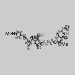 C=C(CC)CC1C=Nc2cc(OCCCCCOc3cc(NO)c(C(=O)N4CC(=C)CC4COCc4ccc(NC)cc4)cc3CC)c(OC)cc2C(=O)N1